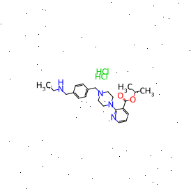 CCNCc1ccc(CN2CCN(c3ncccc3C(=O)OC(C)C)CC2)cc1.Cl.Cl